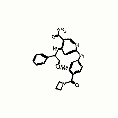 COCC(Nc1cc(Nc2ccc(C(=O)N3CCC3)cc2)ncc1C(N)=O)c1ccccc1